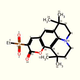 CCS(=O)(=O)c1cc2cc3c4c(c2oc1=O)C(C)(C)CCN4CCC3(C)C